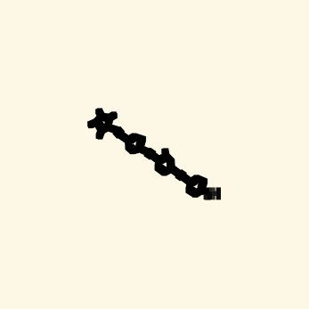 CC1=C(C)C(C#Cc2ccc(C#Cc3ccc(C#Cc4ccc(S)cc4)cc3C)cc2)C(C)=C1C